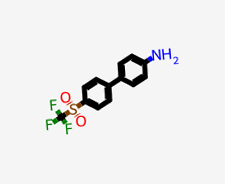 Nc1ccc(-c2ccc(S(=O)(=O)C(F)(F)F)cc2)cc1